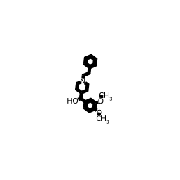 COc1ccc(C(O)C2CCN(CCc3ccccc3)CC2)cc1OC